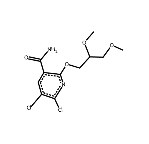 COCC(COc1nc(Cl)c(Cl)cc1C(N)=O)OC